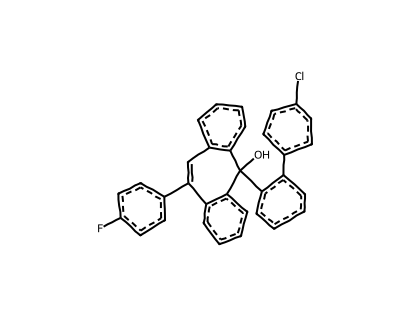 OC1(c2ccccc2-c2ccc(Cl)cc2)c2ccccc2C=C(c2ccc(F)cc2)c2ccccc21